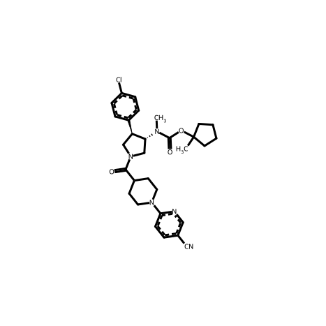 CN(C(=O)OC1(C)CCCC1)[C@@H]1CN(C(=O)C2CCN(c3ccc(C#N)cn3)CC2)C[C@H]1c1ccc(Cl)cc1